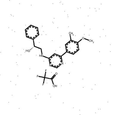 COc1ccc(-c2cc(NC[C@H](O)c3ccccc3)ncn2)cc1C.O=C(O)C(F)(F)F